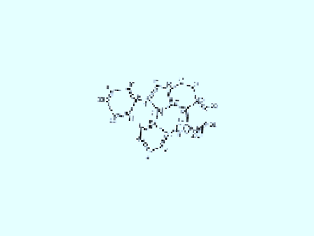 O=C(O)c1ccccc1-n1c(-c2ccccc2)cc2c1-c1ccccc1CC2